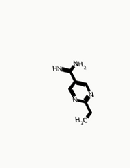 CCc1ncc(C(=N)N)cn1